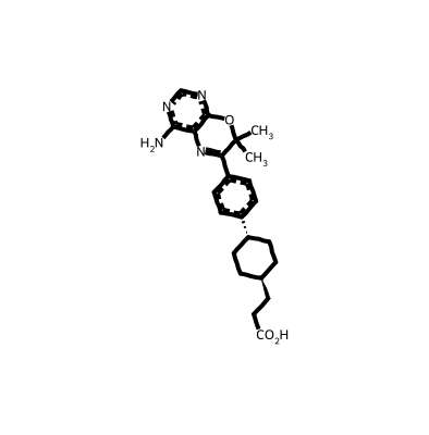 CC1(C)Oc2ncnc(N)c2N=C1c1ccc([C@H]2CC[C@H](CCC(=O)O)CC2)cc1